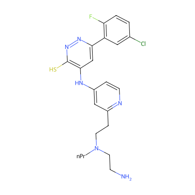 CCCN(CCN)CCc1cc(Nc2cc(-c3cc(Cl)ccc3F)nnc2S)ccn1